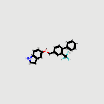 FC(F)(F)c1cc(COc2ccc3c(c2)CCN3)ccc1-c1ccccc1